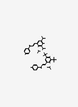 CC(C)Oc1c(/C=C/C(=O)c2ccc(O)cc2)cc(C(C)(C)C)c(O)c1C(C)(C)C.CC(C)Oc1c(/C=C/C(=O)c2ccc(O)cc2)cc(C(C)C)c(O)c1C(C)C